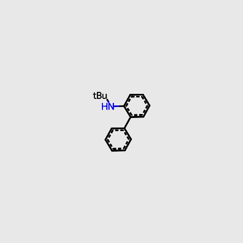 CC(C)(C)Nc1ccccc1-c1ccccc1